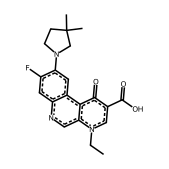 CCn1cc(C(=O)O)c(=O)c2c3cc(N4CCC(C)(C)C4)c(F)cc3ncc21